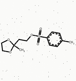 Cc1ccc(S(=O)(=O)OCCC2(C)OCCO2)cc1